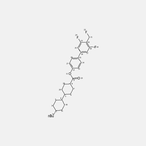 CCCCC1CCC(C2CCC(C(=O)Oc3ccc(-c4cc(F)c(CF)c(F)c4)cc3)CC2)CC1